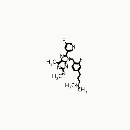 COc1nc(C)c2nc(-c3cncc(F)c3)n(Cc3ccc(CCCN(C)C)cc3F)c2n1